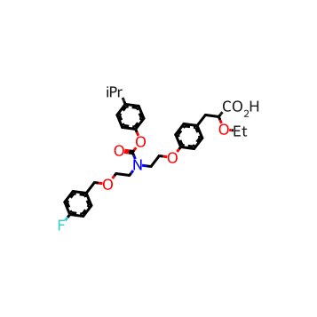 CCOC(Cc1ccc(OCCN(CCOCc2ccc(F)cc2)C(=O)Oc2ccc(C(C)C)cc2)cc1)C(=O)O